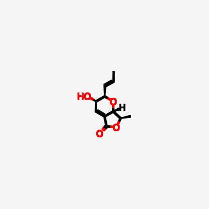 C/C=C/[C@H]1O[C@H]2C(=C[C@H]1O)C(=O)O[C@@H]2C